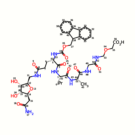 CC(C)[C@H](NC(=O)[C@H](CCC(=O)NC[C@H]1O[C@@H](CC(N)=O)[C@H](O)[C@@H]1O)NC(=O)OCC1c2ccccc2-c2ccccc21)C(=O)N[C@@H](C)C(=O)NCC(=O)NCOCC(=O)O